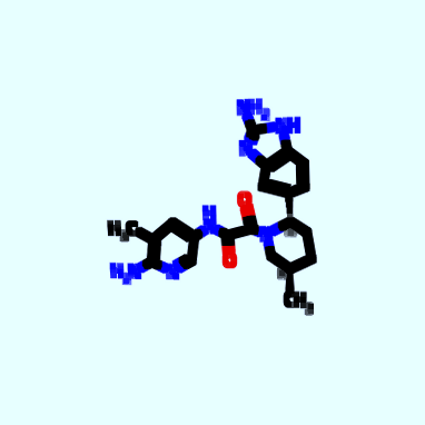 Cc1cc(NC(=O)C(=O)N2C[C@H](C)CC[C@H]2c2ccc3[nH]c(N)nc3c2)cnc1N